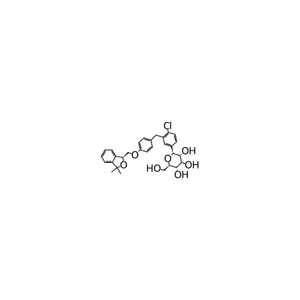 CC1(C)O[C@H](COc2ccc(Cc3cc([C@@H]4O[C@H](CO)[C@@H](O)[C@H](O)[C@H]4O)ccc3Cl)cc2)c2ccccc21